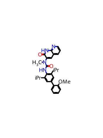 COc1ccccc1-c1cc(C(C)C)c(NC(=O)N(C)c2cc3cccnc3[nH]c2=O)c(C(C)C)c1